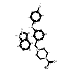 O=C(O)N1CCN(Cc2cccc(Oc3ccc(Br)cc3)c2)CC1.c1ccc2oncc2c1